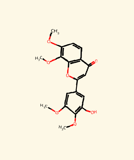 COc1cc(-c2cc(=O)c3ccc(OC)c(OC)c3o2)cc(O)c1OC